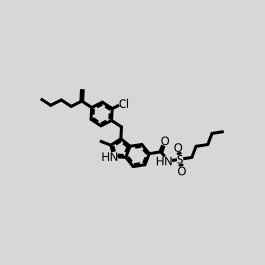 C=C(CCCC)c1ccc(Cc2c(C)[nH]c3ccc(C(=O)NS(=O)(=O)CCCCC)cc23)c(Cl)c1